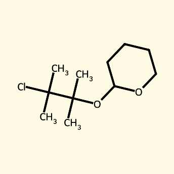 CC(C)(Cl)C(C)(C)OC1CCCCO1